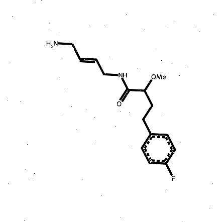 COC(CCc1ccc(F)cc1)C(=O)NCC=CCN